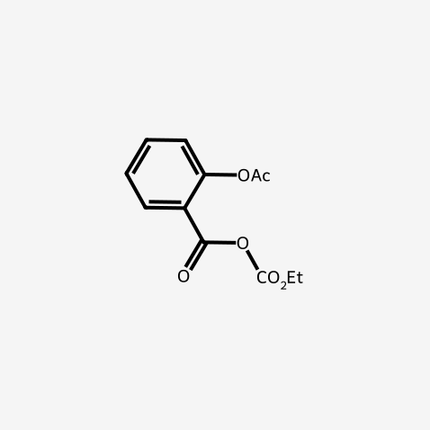 CCOC(=O)OC(=O)c1ccccc1OC(C)=O